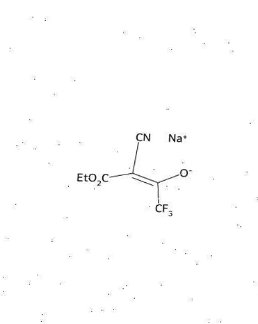 CCOC(=O)/C(C#N)=C(/[O-])C(F)(F)F.[Na+]